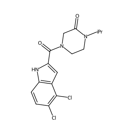 CC(C)N1CCN(C(=O)c2cc3c(Cl)c(Cl)ccc3[nH]2)CC1=O